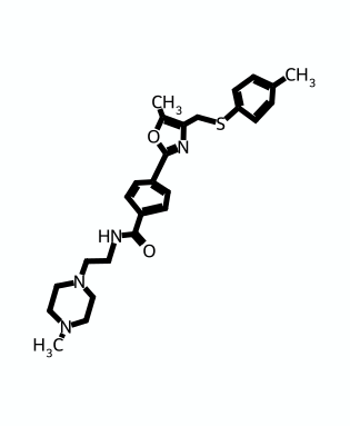 Cc1ccc(SCc2nc(-c3ccc(C(=O)NCCN4CCN(C)CC4)cc3)oc2C)cc1